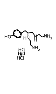 Cl.Cl.Cl.Cl.NCCNCC(Cc1ccc(O)cc1)NCCN